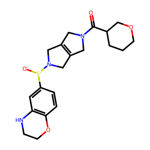 O=C(C1CCCOC1)N1CC2=C(C1)CN([S+]([O-])c1ccc3c(c1)NCCO3)C2